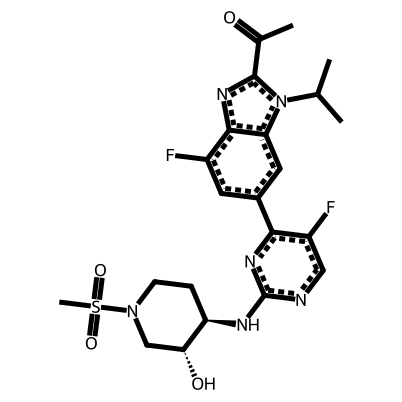 CC(=O)c1nc2c(F)cc(-c3nc(N[C@@H]4CCN(S(C)(=O)=O)C[C@H]4O)ncc3F)cc2n1C(C)C